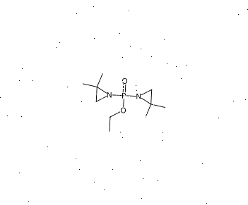 CCOP(=O)(N1CC1(C)C)N1CC1(C)C